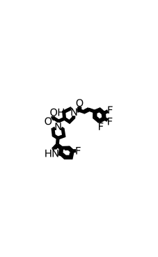 O=C(O)C(C1CCN(C(=O)C=Cc2cc(F)c(F)c(F)c2)CC1)N1CCC(c2c[nH]c3ccc(F)cc23)CC1